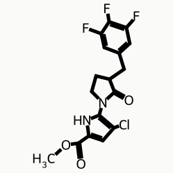 COC(=O)c1cc(Cl)c(N2CCC(Cc3cc(F)c(F)c(F)c3)C2=O)[nH]1